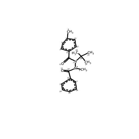 Cc1ccc(C(=O)N(N(C)C(=O)c2ccccc2)C(C)(C)C)cc1